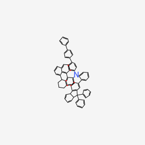 C1=CC2c3ccc(-c4ccccc4N(c4ccc(-c5ccc(-c6ccccc6)cc5)cc4)c4ccccc4-c4cccc5cccc(C6CCCCC6)c45)cc3C(c3ccccc3)(c3ccccc3)C2C=C1